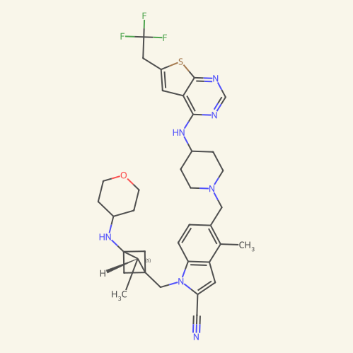 Cc1c(CN2CCC(Nc3ncnc4sc(CC(F)(F)F)cc34)CC2)ccc2c1cc(C#N)n2CC12CC(NC3CCOCC3)(C1)[C@H]2C